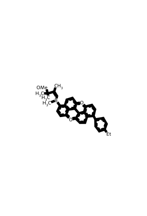 CCc1ccc(-c2ccc3oc4ccc5c(B(C)/C=C(/C)C(C)(C)OC)ccc6oc7ccc2c3c7-c4c65)cc1